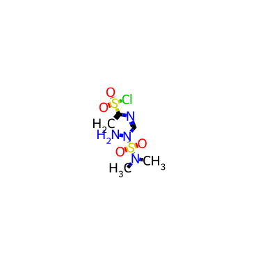 C=C(/N=C\N(N)S(=O)(=O)N(C)C)S(=O)(=O)Cl